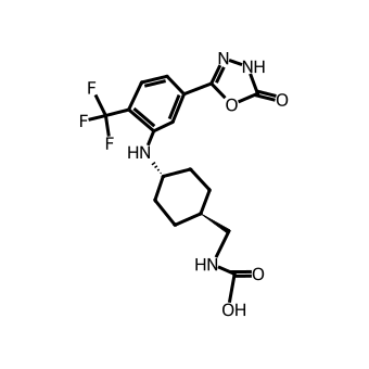 O=C(O)NC[C@H]1CC[C@H](Nc2cc(-c3n[nH]c(=O)o3)ccc2C(F)(F)F)CC1